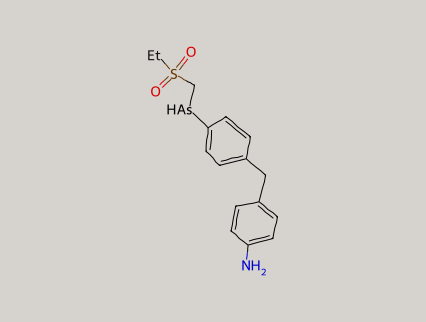 CCS(=O)(=O)C[AsH]c1ccc(Cc2ccc(N)cc2)cc1